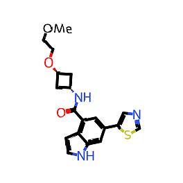 COCCO[C@H]1C[C@H](NC(=O)c2cc(-c3cncs3)cc3[nH]ccc23)C1